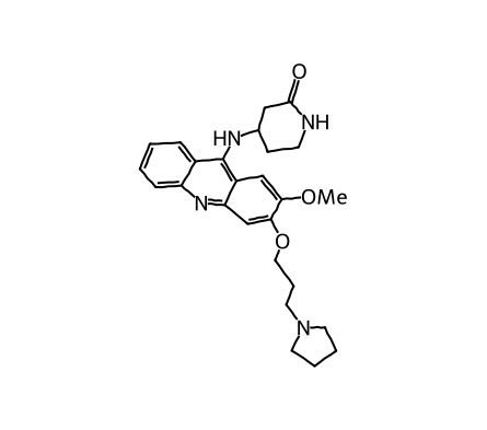 COc1cc2c(NC3CCNC(=O)C3)c3ccccc3nc2cc1OCCCN1CCCC1